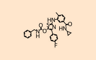 Cc1ccc(C(=O)NC2CC2)cc1Nc1nc(-c2ccc(F)cc2)c(OC(=O)NCc2ccccc2)s1